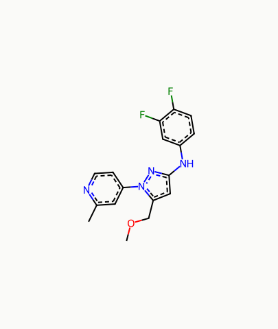 COCc1cc(Nc2ccc(F)c(F)c2)nn1-c1ccnc(C)c1